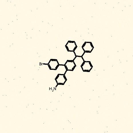 Nc1ccc(-c2ccc(C(c3ccccc3)C(c3ccccc3)c3ccccc3)cc2-c2ccc(Br)cc2)cc1